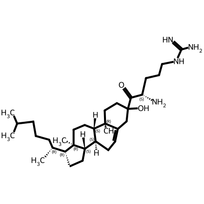 CC(C)CCC[C@@H](C)[C@H]1CC[C@H]2[C@@H]3CC=C4CC(O)(C(=O)[C@@H](N)CCCNC(=N)N)CC[C@]4(C)[C@H]3CC[C@]12C